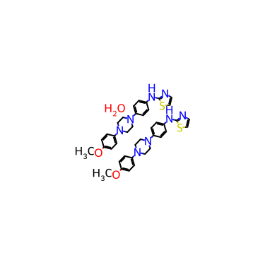 COc1ccc(N2CCN(c3ccc(Nc4nccs4)cc3)CC2)cc1.COc1ccc(N2CCN(c3ccc(Nc4nccs4)cc3)CC2)cc1.O